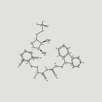 C=P(C)(C)CCC1O[C@@H](n2ccc(=O)n(CCC(C)C(=O)OC(=O)OCC3c4ccccc4-c4ccccc43)c2=O)[C@H](O)[C@@H]1O